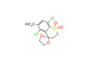 O=C(O)c1cc(Cl)c2c(c1Cl)C1(CCS2(=O)=O)OCCO1